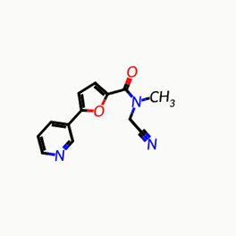 CN(CC#N)C(=O)c1ccc(-c2cccnc2)o1